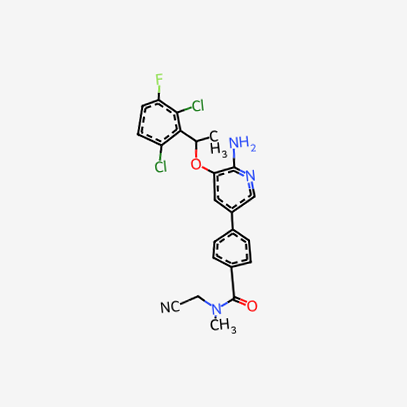 CC(Oc1cc(-c2ccc(C(=O)N(C)CC#N)cc2)cnc1N)c1c(Cl)ccc(F)c1Cl